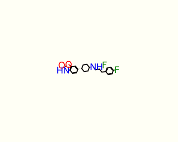 O=c1[nH]c2ccc([C@H]3CC[C@H](NCCCc4ccc(F)cc4F)CC3)cc2o1